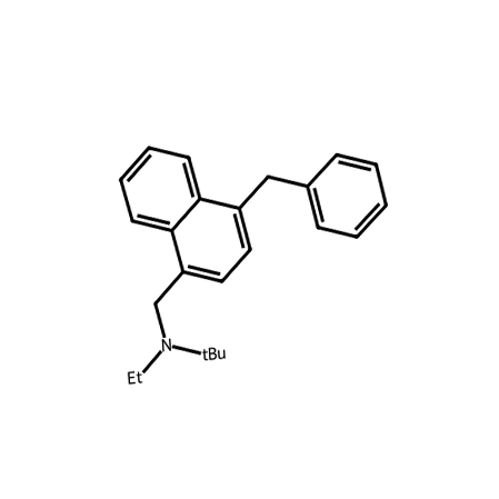 CCN(Cc1ccc(Cc2ccccc2)c2ccccc12)C(C)(C)C